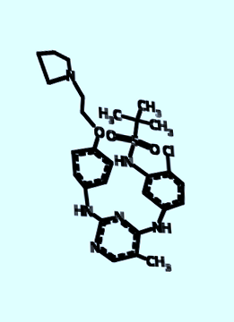 Cc1cnc(Nc2ccc(OCCN3CCCC3)cc2)nc1Nc1ccc(Cl)c(NS(=O)(=O)C(C)(C)C)c1